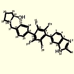 Cc1nc2ccc(-c3c(F)c(F)c(-c4ccc(CN5CCC[C@H]5O)cc4)c(F)c3F)cc2[nH]1